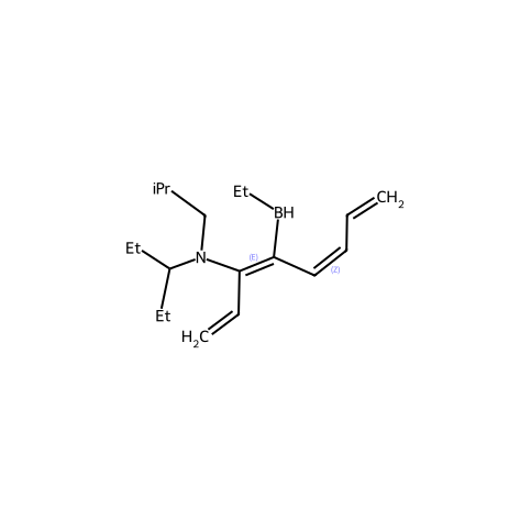 C=C/C=C\C(BCC)=C(/C=C)N(CC(C)C)C(CC)CC